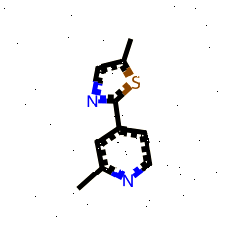 Cc1cc(-c2ncc(C)s2)ccn1